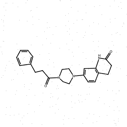 O=C1CCc2ccc(N3CCN(C(=O)CCc4ccccc4)CC3)cc2N1